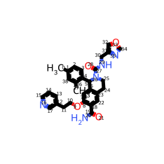 Cc1ccc(C2c3cc(OCCc4cccnc4)c(C(N)=O)cc3CCN2C(=O)NCc2cocn2)c(C)c1